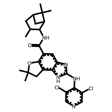 CC1CC2CC(C1NC(=O)c1cc3nc(Nc4c(Cl)cncc4Cl)[nH]c3c3c1OC(C)(C)C3)C2(C)C